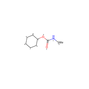 CSNC(=O)OC1CCCCC1